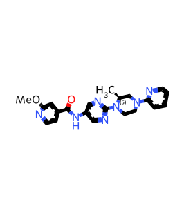 COc1cc(C(=O)Nc2cnc(N3CCN(c4ccccn4)C[C@@H]3C)nc2)ccn1